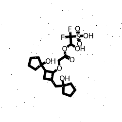 O=C(COC1C(CC2(O)CCCC2)CC1C1(O)CCCC1)OC(O)C(F)(F)S(=O)(=O)O